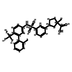 Cc1ccccc1-c1nc(NS(=O)(=O)c2cccc(N3CCC(C)(C(=O)O)C3)n2)ccc1C(F)(F)F